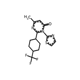 Cc1cc(=O)n(-c2nccs2)c(C2CCC(C(F)(F)F)CC2)n1